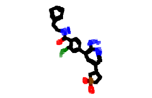 Nc1ncc(C2CCS(=O)(=O)C2)cc1-c1ccc(C(=O)NCc2ccccc2)c(F)c1